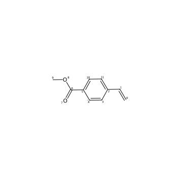 C=Cc1c[c]c(C(=O)OC)cc1